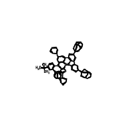 CC(C)(C)c1ccc(N2c3cc(-c4ccccc4)cc4c3B(c3sc5c(ccc6ccccc65)c32)n2c3ccc(C56CC7CC(CC(C7)C5)C6)cc3c3cc(C56CC7CC(CC(C7)C5)C6)cc-4c32)c(-c2ccccc2)c1